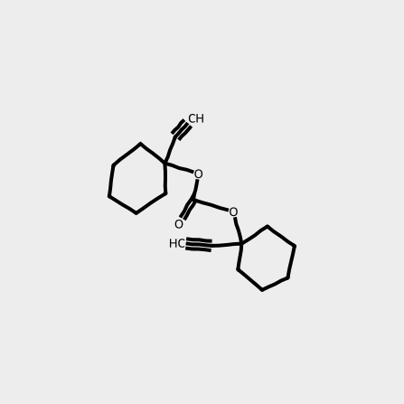 C#CC1(OC(=O)OC2(C#C)CCCCC2)CCCCC1